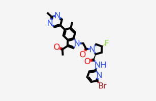 CC(=O)c1cn(CC(=O)N2C[C@H](F)C[C@H]2C(=O)Nc2cccc(Br)n2)c2cc(C)c(-c3cnc(C)nc3)cc12